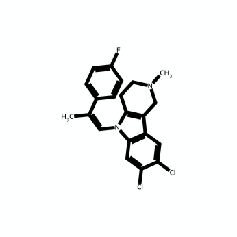 C/C(=C/n1c2c(c3cc(Cl)c(Cl)cc31)CN(C)CC2)c1ccc(F)cc1